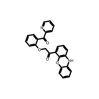 O=C(c1ccccn1)c1ccccc1OCC(=O)c1cccc2c1Oc1ccccc1N2